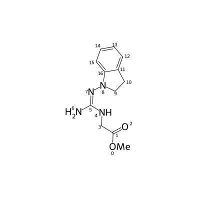 COC(=O)CNC(N)=NN1CCc2ccccc21